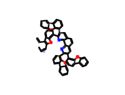 C=Cc1c(/C=C\C)oc2c(-c3nc4c(ccc5cc(-c6cccc7c6oc6ccccc67)c(-c6cccc7c6oc6ccccc67)nc54)cc3-c3cccc4c3oc3ccccc34)cccc12